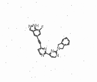 Fc1cc(C#Cc2ccnc(-c3ccnc(N4Cc5ccccc5C4)n3)n2)cc2cn[nH]c12